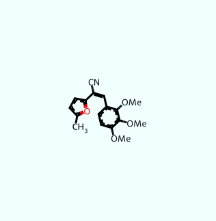 COc1ccc(C=C(C#N)c2ccc(C)o2)c(OC)c1OC